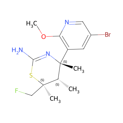 COc1ncc(Br)cc1[C@@]1(C)N=C(N)S[C@](C)(CF)[C@H]1C